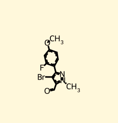 COc1ccc(-c2nn(C)c(C=O)c2Br)c(F)c1